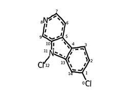 Clc1ccc2c3ccncc3n(Cl)c2c1